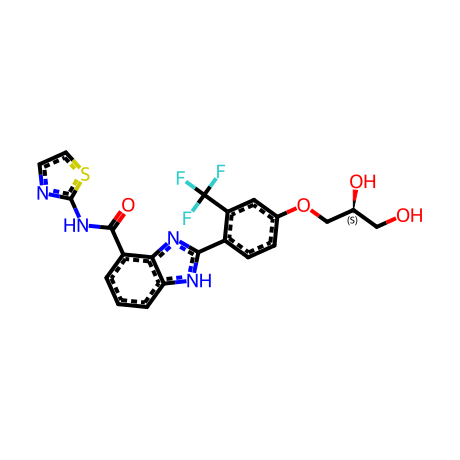 O=C(Nc1nccs1)c1cccc2[nH]c(-c3ccc(OC[C@@H](O)CO)cc3C(F)(F)F)nc12